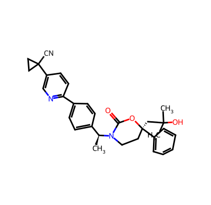 C[C@@H](c1ccc(-c2ccc(C3(C#N)CC3)cn2)cc1)N1CC[C@](CC(C)(C)O)(c2ccccc2)OC1=O